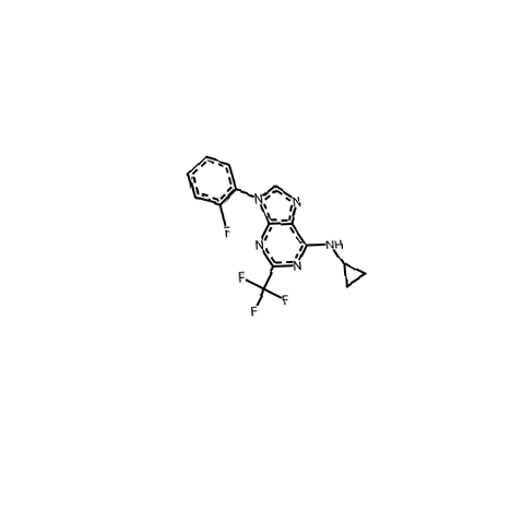 Fc1ccccc1-n1cnc2c(NC3CC3)nc(C(F)(F)F)nc21